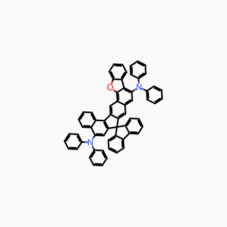 c1ccc(N(c2ccccc2)c2cc3c(c4ccccc24)-c2cc4c(cc2C32c3ccccc3-c3ccccc32)cc(N(c2ccccc2)c2ccccc2)c2c3ccccc3oc42)cc1